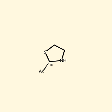 CC(=O)[C@H]1NCCS1